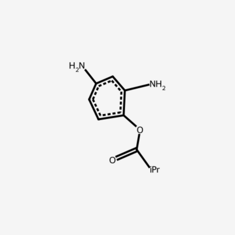 CC(C)C(=O)Oc1ccc(N)cc1N